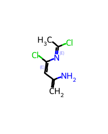 C=C(N)/C=C(Cl)\N=C(/C)Cl